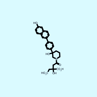 O=C(O)CC(O)(CC(=O)N1CCCC(O)(c2ccc(-c3ccc4cc(O)ccc4c3)cc2)C1)C(=O)O